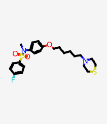 CN(c1ccc(OCCCCCCN2CCSCC2)cc1)S(=O)(=O)c1ccc(F)cc1